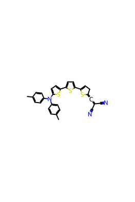 Cc1ccc(N(c2ccc(C)cc2)c2ccc(-c3ccc(C4=CCC(=C=C(C#N)C#N)S4)s3)s2)cc1